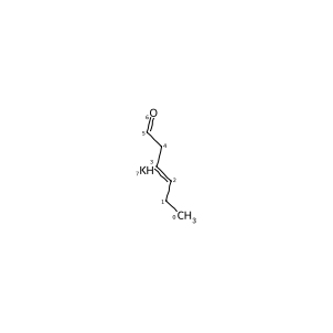 CCC=CCC=O.[KH]